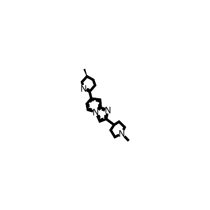 C[C@H]1CCC(c2ccn3cc(C4CCN(C)CC4)nc3c2)=NC1